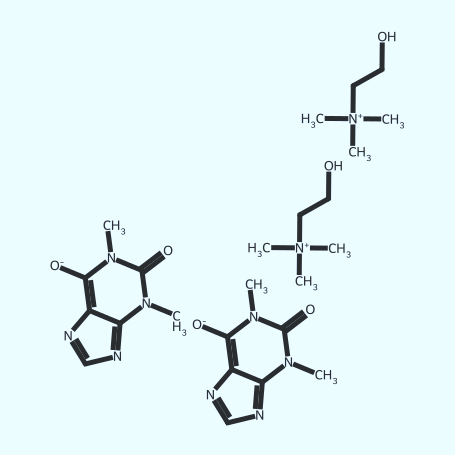 C[N+](C)(C)CCO.C[N+](C)(C)CCO.Cn1c2ncnc-2c([O-])n(C)c1=O.Cn1c2ncnc-2c([O-])n(C)c1=O